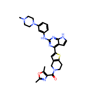 Cc1nc(C(=O)N2CCc3sc(-c4nc(Nc5cccc(N6CCN(C)CC6)c5)nc5[nH]ccc45)cc3C2)c(C)o1